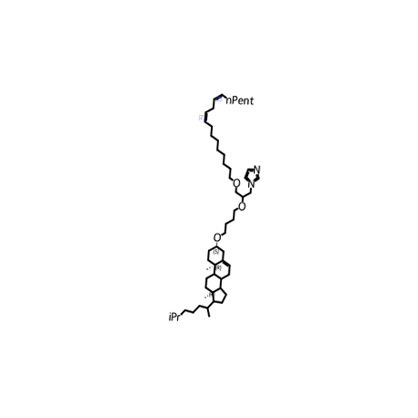 CCCCC/C=C\C/C=C\CCCCCCCCOCC(Cn1ccnc1)OCCCCO[C@H]1CC[C@@]2(C)C(=CCC3C4CCC(C(C)CCCC(C)C)[C@@]4(C)CCC32)C1